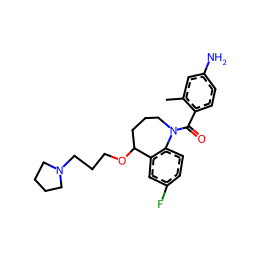 Cc1cc(N)ccc1C(=O)N1CCCC(OCCCN2CCCC2)c2cc(F)ccc21